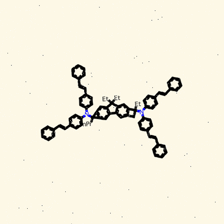 CCCC1(N(c2ccc(/C=C/c3ccccc3)cc2)c2ccc(/C=C/c3ccccc3)cc2)c2cc3c(cc21)C(CC)(CC)c1cc2c(cc1-3)CC2(CC)N(c1ccc(/C=C/c2ccccc2)cc1)c1ccc(/C=C/c2ccccc2)cc1